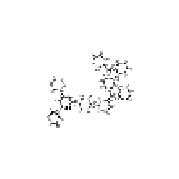 C1=CCCC(c2nc(-c3ccccc3)nc(-c3ccc(-c4cccc(-n5c6ccccc6c6c7c8ccccc8n(-c8ccccc8)c7ccc65)c4)cc3)n2)=C1